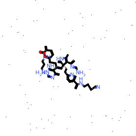 C=C(/C=C\C(=C/CC)CC/C(=C\[C@@]1(CCc2ccc(C(=C)NCCCC#N)cn2)C(=C)NC(C)=C1C(=C)/N=C/N)C1=C(N)NC=NC1=C)C(=C)NCCCN